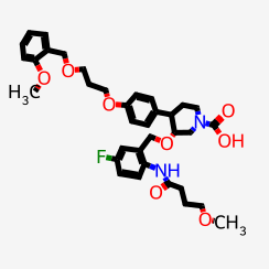 COCCCC(=O)Nc1ccc(F)cc1COC1CN(C(=O)O)CCC1c1ccc(OCCCOCc2ccccc2OC)cc1